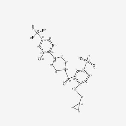 CS(=O)(=O)c1ccc(OCC2CC2)c(C(=O)N2CCN(c3ncc(C(F)(F)F)cc3Cl)CC2)c1